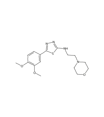 COc1ccc(-c2nnc(NCCN3CCOCC3)s2)cc1OC